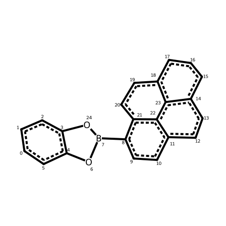 c1ccc2c(c1)OB(c1ccc3ccc4cccc5ccc1c3c45)O2